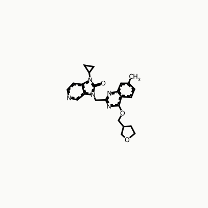 Cc1ccc2c(OCC3CCOC3)nc(Cn3c(=O)n(C4CC4)c4ccncc43)nc2c1